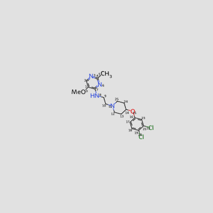 COc1cnc(C)nc1NCCN1CCC(Oc2ccc(Cl)c(Cl)c2)CC1